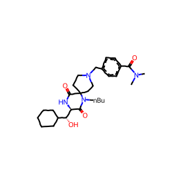 CCCCN1C(=O)[C@@H]([C@H](O)C2CCCCC2)NC(=O)C12CCN(Cc1ccc(C(=O)N(C)C)cc1)CC2